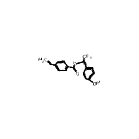 C=Cc1ccc(C(=O)OC(c2ccc(O)cc2)C(F)(F)F)cc1